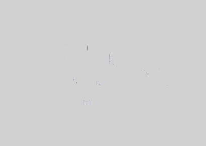 CCc1ccccc1-c1nc(N)nc(NCCN2CCC2)c1CC